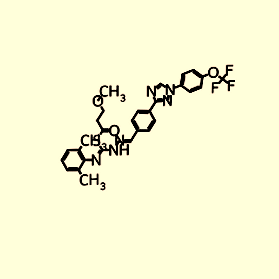 COCCC(=O)S/C(=N\c1c(C)cccc1C)N/N=C/c1ccc(-c2ncn(-c3ccc(OC(F)(F)F)cc3)n2)cc1